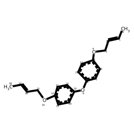 CC=CCOc1ccc(Oc2ccc(OCC=CC)cc2)cc1